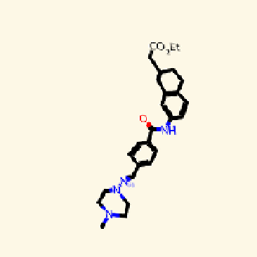 CCOC(=O)CC1CCc2ccc(NC(=O)c3ccc(/C=N/N4CCN(C)CC4)cc3)cc2C1